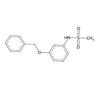 CS(=O)(=O)Nc1cccc(OCc2ccccc2)c1